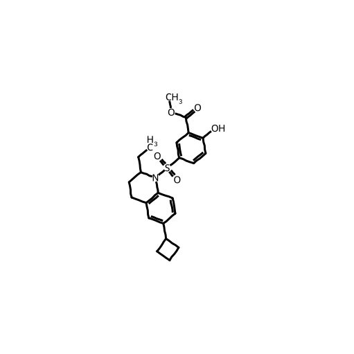 CCC1CCc2cc(C3CCC3)ccc2N1S(=O)(=O)c1ccc(O)c(C(=O)OC)c1